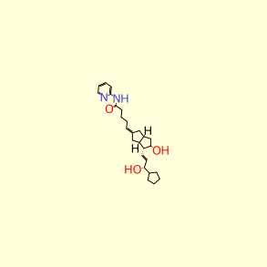 O=C(CCC/C=C1\C[C@H]2C[C@@H](O)[C@H](/C=C/[C@@H](O)C3CCCC3)[C@H]2C1)Nc1ccccn1